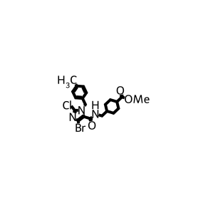 COC(=O)C1CCC(CNC(=O)c2c(Br)nc(Cl)n2Cc2ccc(C)cc2)CC1